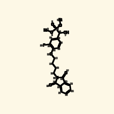 CCOP(=O)(OCC)C(O)c1ccc(OCCCCN2C(=O)c3ccccc3C2=O)c(F)c1